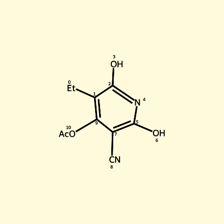 CCc1c(O)nc(O)c(C#N)c1OC(C)=O